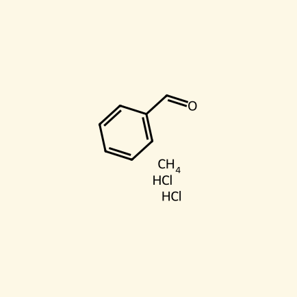 C.Cl.Cl.O=Cc1ccccc1